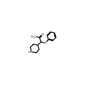 CC(=O)C(Oc1ccccc1)C1CCNCC1